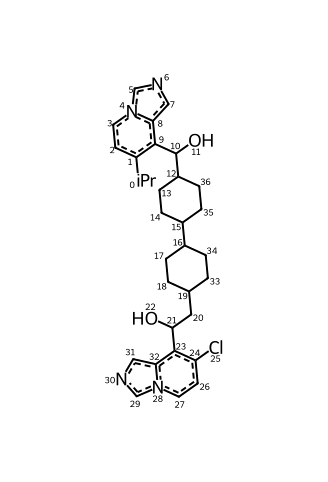 CC(C)c1ccn2cncc2c1C(O)C1CCC(C2CCC(CC(O)c3c(Cl)ccn4cncc34)CC2)CC1